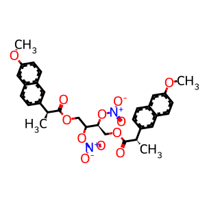 COc1ccc2cc([C@H](C)C(=O)OCC(O[N+](=O)[O-])[C@H](COC(=O)[C@@H](C)c3ccc4cc(OC)ccc4c3)O[N+](=O)[O-])ccc2c1